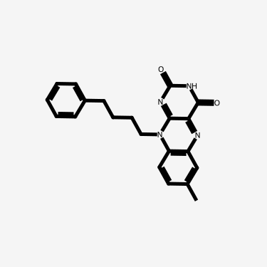 Cc1ccc2c(c1)nc1c(=O)[nH]c(=O)nc-1n2CCCCc1ccccc1